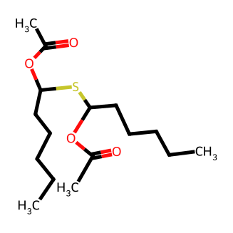 CCCCCC(OC(C)=O)SC(CCCCC)OC(C)=O